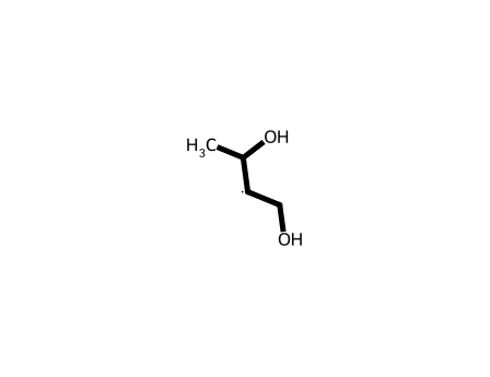 CC(O)[CH]CO